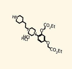 CCOC(=O)COc1ccc(N2CCN(CCC3CCNCC3)CC2)c(OCC(=O)OCC)c1.Cl.Cl